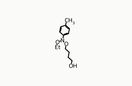 CCON(OCCCCO)c1ccc(C)cc1